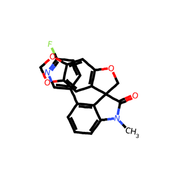 CN1C(=O)C2(COc3cc4c(cc32)OCO4)c2c(-c3ccc(F)nc3)cccc21